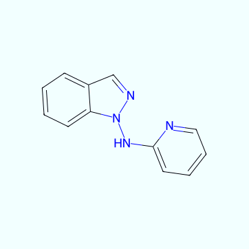 c1ccc(Nn2ncc3ccccc32)nc1